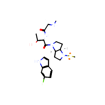 CN[C@@H](C)C(=O)N[C@H](C(=O)N1CC[C@@H]2[C@H]1[C@@H](c1c[nH]c3cc(F)ccc13)CN2S(C)(=O)=O)C(C)O